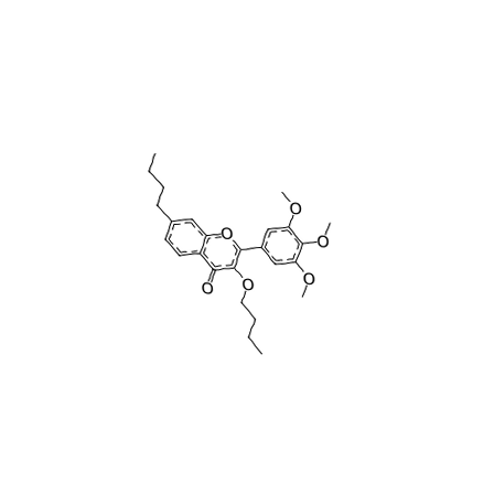 CCCCOc1c(-c2cc(OC)c(OC)c(OC)c2)oc2cc(CCCC)ccc2c1=O